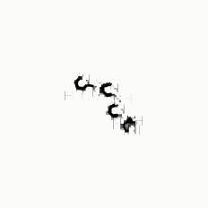 Cc1cccnc1-c1nc2cc(Nc3cccc(N4C[C@@H]5C[C@H]4CN5)n3)ncc2s1